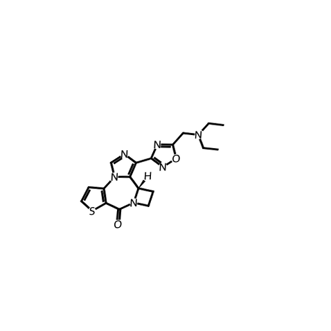 CCN(CC)Cc1nc(-c2ncn3c2[C@@H]2CCN2C(=O)c2sccc2-3)no1